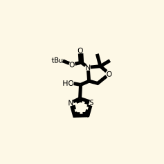 CC(C)(C)OC(=O)N1C(C(O)c2nccs2)COC1(C)C